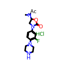 CC(=O)N(C)C1CN(c2ccc(N3CCNCC3)c(F)c2)C(=O)O1.Cl